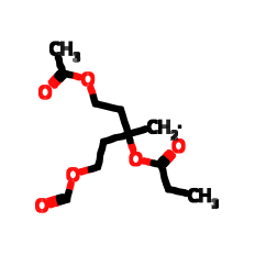 [CH2]C(CCOC=O)(CCOC(C)=O)OC(=O)CC